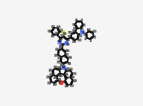 c1ccc(-n2c3ccccc3c3cc(-c4nc(-c5ccc6cc(-n7c8ccc9cccc%10oc%11cccc%12ccc7c(c%12%11)c8c9%10)ccc6c5)nc5c4sc4ccccc45)ccc32)cc1